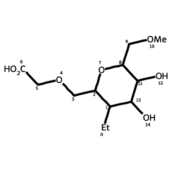 CCC1C(COCC(=O)O)OC(COC)C(O)C1O